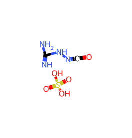 N=C(N)NN=C=O.O=S(=O)(O)O